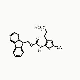 N#Cc1cc(CCC(=O)O)c(NC(=O)OCC2c3ccccc3-c3ccccc32)s1